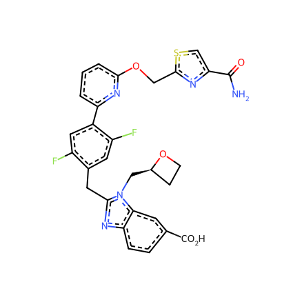 NC(=O)c1csc(COc2cccc(-c3cc(F)c(Cc4nc5ccc(C(=O)O)cc5n4C[C@@H]4CCO4)cc3F)n2)n1